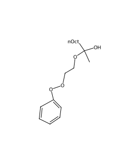 CCCCCCCCC(C)(O)OCCOOc1ccccc1